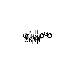 CC[C@H]1COC(=O)N1c1nc(C)nc(N[C@@H](c2ccc(Oc3ccccc3)cc2)C(F)(F)F)n1